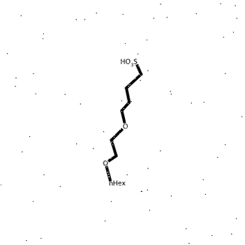 CCCCCCOCCOCCCCS(=O)(=O)O